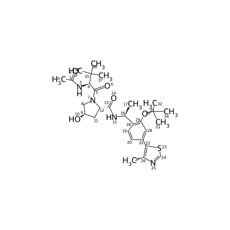 CC(=O)N[C@H](C(=O)N1C[C@H](O)C[C@H]1C(=O)N[C@@H](C)c1ccc(-c2scnc2C)cc1OC(C)(C)C)C(C)(C)C